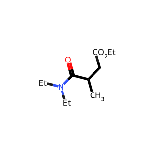 CCOC(=O)CC(C)C(=O)N(CC)CC